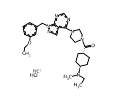 CCOc1cccc(Cn2ncc3c(N4CCN(C(=O)[C@H]5CC[C@H](N(C)CC)CC5)CC4)ncnc32)c1.Cl.Cl